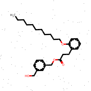 CCCCCCCCCCCOc1ccccc1CCC(=O)OCc1cccc(CO)c1